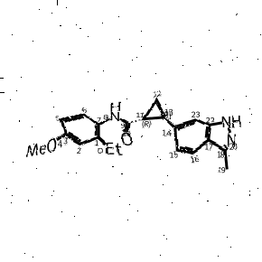 CCc1cc(OC)ccc1NC(=O)[C@@H]1C[C@H]1c1ccc2c(C)n[nH]c2c1